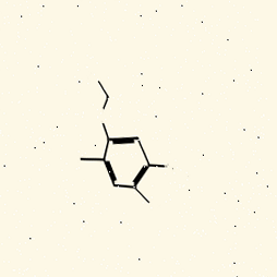 CCOc1cc(N)c(Cl)cc1F